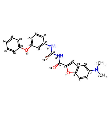 CN(C)c1ccc2oc(C(=O)NC(=S)Nc3cccc(Oc4ccccc4)c3)cc2c1